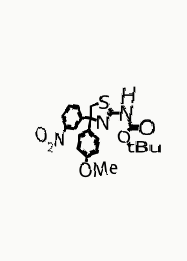 COc1ccc(C2(c3cccc([N+](=O)[O-])c3)CSC(NC(=O)OC(C)(C)C)=N2)cc1